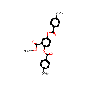 CCCCCOC(=O)c1cc(OC(=O)c2ccc(OC)cc2)ccc1OC(=O)c1ccc(OC)cc1